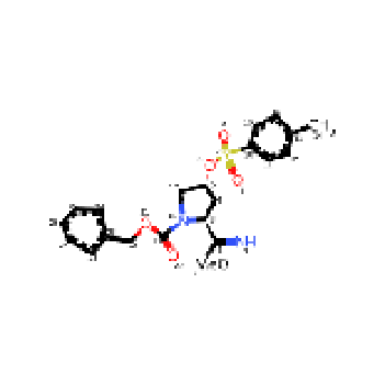 COC(=N)[C@@H]1C[C@@H](OS(=O)(=O)c2ccc(C)cc2)CN1C(=O)OCc1ccccc1